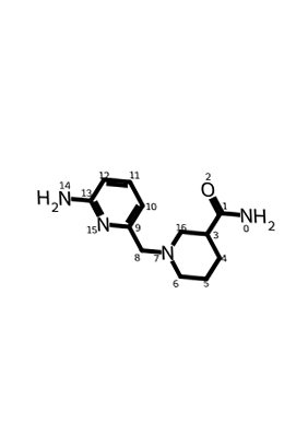 NC(=O)C1CCCN(Cc2cccc(N)n2)C1